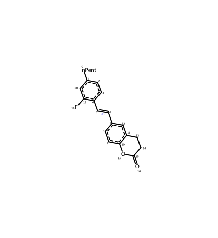 CCCCCc1ccc(/C=C/c2ccc3c(c2)CCC(=O)O3)c(F)c1